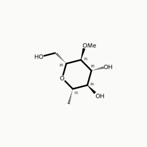 CO[C@H]1[C@H](O)[C@@H](O)[C@H](C)O[C@@H]1CO